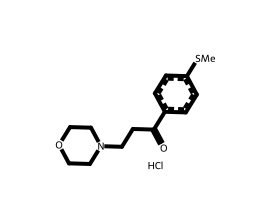 CSc1ccc(C(=O)CCN2CCOCC2)cc1.Cl